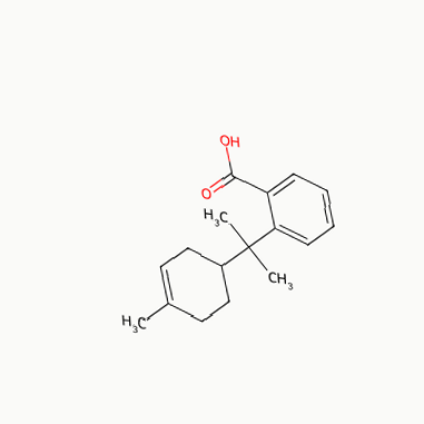 CC1=CCC(C(C)(C)c2ccccc2C(=O)O)CC1